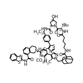 Cc1ncsc1-c1ccc([C@H](C)NC(=O)[C@@H]2C[C@@H](O)CN2C(=O)[C@@H](NC(=O)CCCCNC(=O)C23CC4CC(CC(Cn5ncc(-c6ccc(N7CCc8cccc(C(=O)Nc9nc%10ccccc%10s9)c8C7)nc6C(=O)O)c5C)(C4)C2)C3)C(C)(C)C)cc1